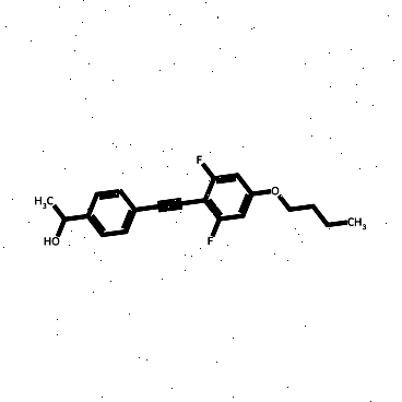 CCCCOc1cc(F)c(C#Cc2ccc(C(C)O)cc2)c(F)c1